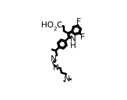 CC(CN=C=NCCCN(C)C)c1ccc(-c2[nH]c3c(F)cc(F)cc3c2CCC(=O)O)cc1